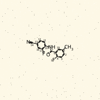 Cc1ccc(F)c(C(=O)Nc2ccc(C#N)cc2F)c1